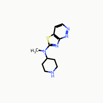 CN(c1nc2nnccc2s1)C1CCNCC1